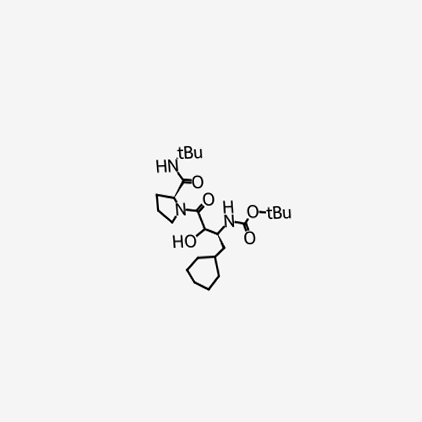 CC(C)(C)NC(=O)[C@@H]1CCCN1C(=O)C(O)[C@H](CC1CCCCC1)NC(=O)OC(C)(C)C